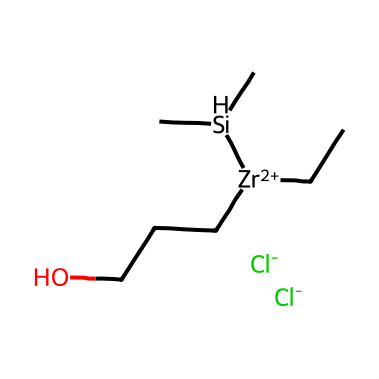 C[CH2][Zr+2]([CH2]CCO)[SiH](C)C.[Cl-].[Cl-]